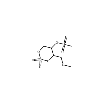 COCC1OS(=O)(=O)OCC1OS(C)(=O)=O